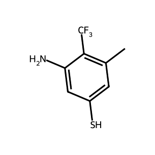 Cc1cc(S)cc(N)c1C(F)(F)F